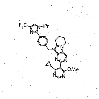 COc1ncnc(C2CC2)c1-c1ncc2c(n1)c(Cc1ccc(-c3nc(C(F)(F)F)cn3C(C)C)cc1)c1n2CCCC1